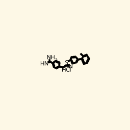 Cc1ccccc1-c1ccc2sc(Cc3ccc(C(=N)N)cc3)nc2c1.Cl